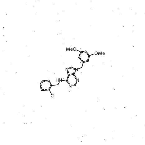 COc1cc(Cn2cnc3c(NCc4ccccc4Cl)ncnc32)cc(OC)c1